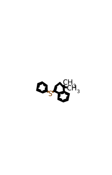 CC1(C)CC=C(Sc2ccccc2)c2ccccc21